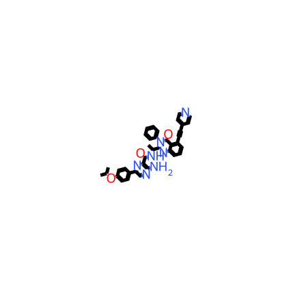 CC(C)Oc1ccc(-c2cnc(N)c(C(=O)NC(C)c3nc4cccc(C#Cc5ccncc5)c4c(=O)n3-c3ccccc3)n2)cc1